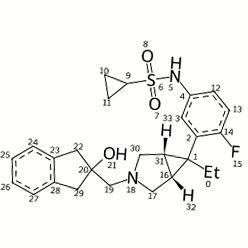 CCC1(c2cc(NS(=O)(=O)C3CC3)ccc2F)[C@@H]2CN(CC3(O)Cc4ccccc4C3)C[C@@H]21